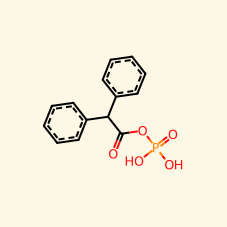 O=C(OP(=O)(O)O)C(c1ccccc1)c1ccccc1